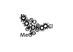 COC(=O)CC1CN(S(=O)(=O)c2ccc3cc(Cl)ccc3c2)CC(CC(=O)OC)N1C(=O)c1ccc(-c2ccncc2)cc1